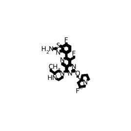 CCC1CN(c2nc(OC[C@]34CCCN3C[C@@H](F)C4)nc3c(CF)c(-c4ccc(F)c5sc(N)nc45)ncc23)CCN1